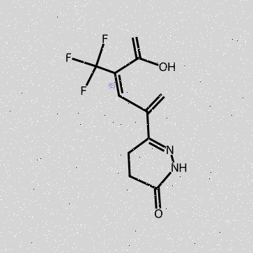 C=C(/C=C(\C(=C)O)C(F)(F)F)C1=NNC(=O)CC1